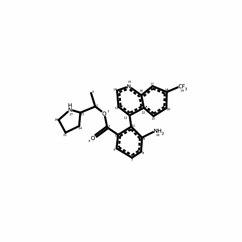 CC(OC(=O)c1cccc(N)c1-c1ccnc2cc(C(F)(F)F)ccc12)C1CCCN1